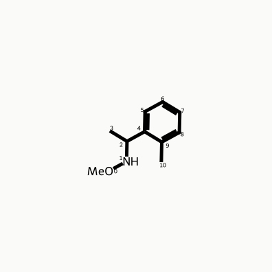 CONC(C)c1ccccc1C